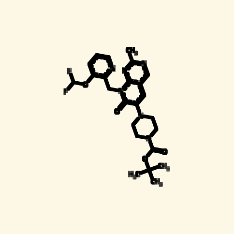 Cc1ncc2cc(N3CCN(C(=O)OC(C)(C)C)CC3)c(=O)n(Cc3ncccc3OC(F)F)c2n1